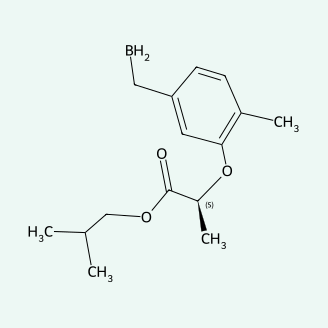 BCc1ccc(C)c(O[C@@H](C)C(=O)OCC(C)C)c1